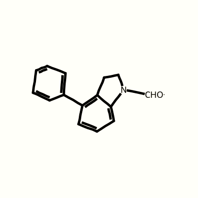 O=[C]N1CCc2c(-c3ccccc3)cccc21